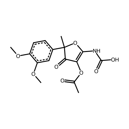 COc1ccc(C2(C)OC(NC(=O)O)=C(OC(C)=O)C2=O)cc1OC